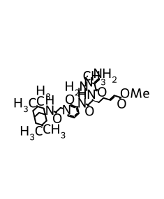 COC(=O)/C=C/CC[C@H](NC(=O)/C(=C/N)N(C)N)C(=O)Nc1cccn(CC(=O)NC23CC(CC(C)(C)C2)CC(C)(C)C3)c1=O